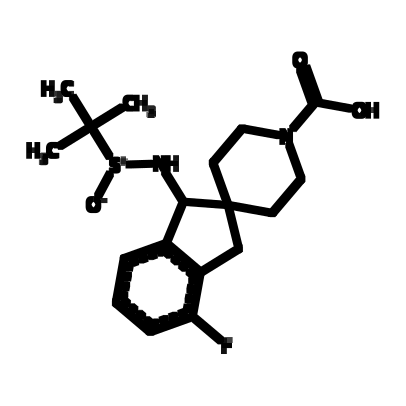 CC(C)(C)[S+]([O-])NC1c2cccc(F)c2CC12CCN(C(=O)O)CC2